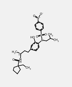 CCC1(C(=O)N[C@@H](C)CCc2ccc(N(CC(C)C)S(=O)(=O)c3ccc([N+](=O)[O-])cc3)c(O)c2)CCCC1